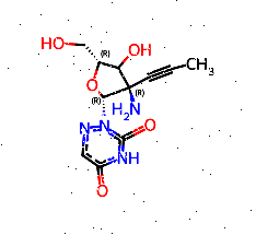 CC#C[C@@]1(N)C(O)[C@@H](CO)O[C@H]1n1ncc(=O)[nH]c1=O